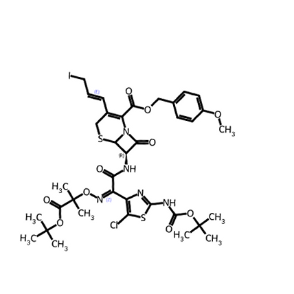 COc1ccc(COC(=O)C2=C(/C=C/CI)CSC3[C@H](NC(=O)/C(=N\OC(C)(C)C(=O)OC(C)(C)C)c4nc(NC(=O)OC(C)(C)C)sc4Cl)C(=O)N23)cc1